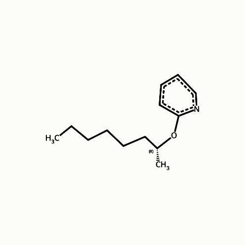 CCCCCC[C@@H](C)Oc1ccccn1